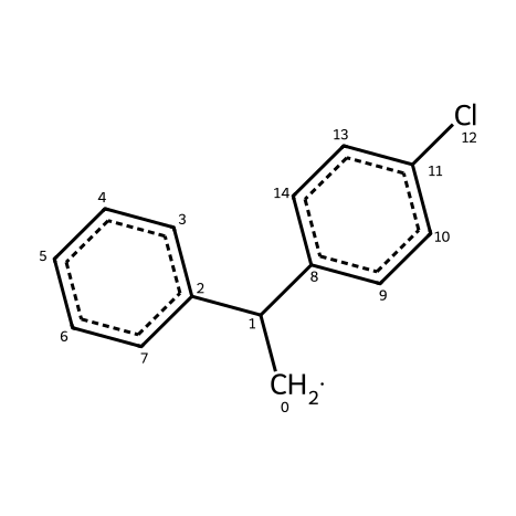 [CH2]C(c1ccccc1)c1ccc(Cl)cc1